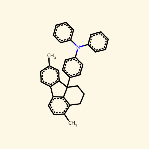 Cc1ccc2c(c1)C1(c3ccc(N(c4ccccc4)c4ccccc4)cc3)CCCc3c(C)ccc-2c31